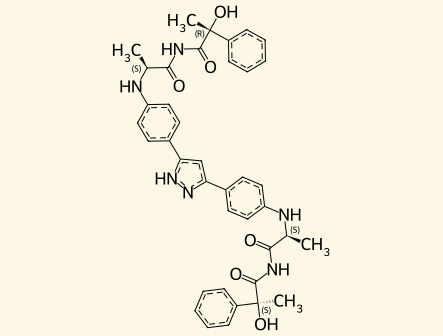 C[C@H](Nc1ccc(-c2cc(-c3ccc(N[C@@H](C)C(=O)NC(=O)[C@@](C)(O)c4ccccc4)cc3)n[nH]2)cc1)C(=O)NC(=O)[C@](C)(O)c1ccccc1